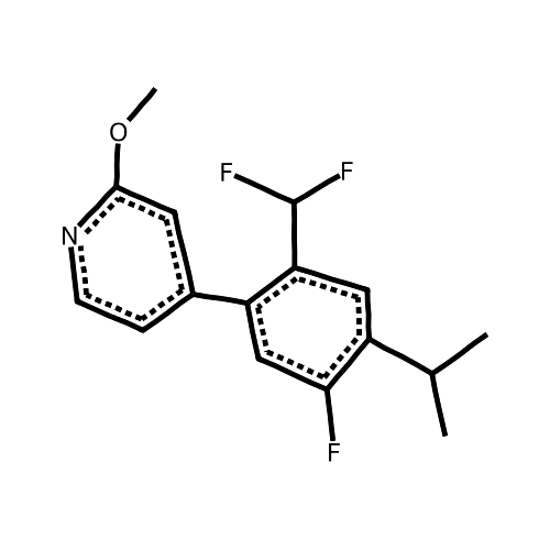 COc1cc(-c2cc(F)c(C(C)C)cc2C(F)F)ccn1